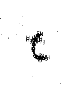 CC1(C)C(NC(=O)c2ccc(C3CCN(CCCCOc4ccc5c(c4)C(=O)N(C4CCC(=O)NC4=O)C5=O)CC3)cc2)C(C)(C)C1Oc1ccc(C#N)c(Cl)c1